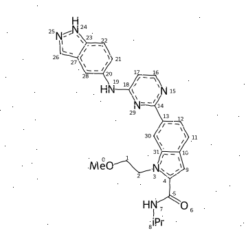 COCCn1c(C(=O)NC(C)C)cc2ccc(-c3nccc(Nc4ccc5[nH]ncc5c4)n3)cc21